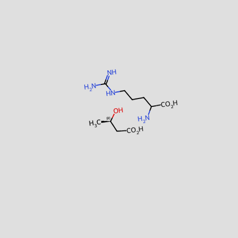 C[C@@H](O)CC(=O)O.N=C(N)NCCCC(N)C(=O)O